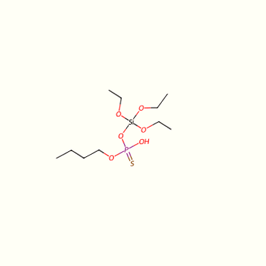 CCCCOP(O)(=S)O[Si](OCC)(OCC)OCC